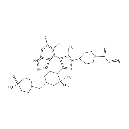 C=CC(=O)N1CCC(n2nc(N3CC[C@@H](CN4CCP(C)(=O)CC4)CC3(C)C)c(-c3c(Cl)c(Cl)cc4[nH]ncc34)c2C)CC1